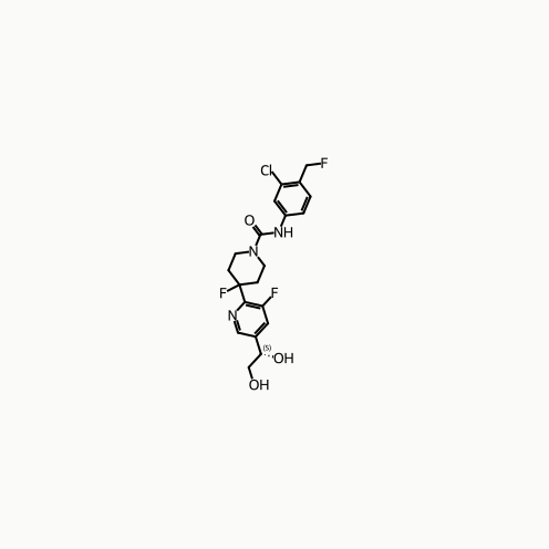 O=C(Nc1ccc(CF)c(Cl)c1)N1CCC(F)(c2ncc([C@H](O)CO)cc2F)CC1